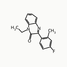 CCn1c(=O)c(-c2ccc(F)cc2C)nc2ccccc21